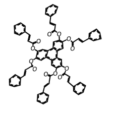 O=C(/C=C/c1ccccc1)Oc1cc2c3cc(OC(=O)/C=C/c4ccccc4)c(OC(=O)/C=C/c4ccccc4)cc3c3cc(OC(=O)/C=C/c4ccccc4)c(OC(=O)/C=C/c4ccccc4)cc3c2cc1OC(=O)/C=C/c1ccccc1